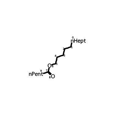 CCCCCCCCCCCCOC(=O)CCCCC